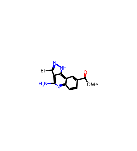 CCc1n[nH]c2c1c(N)nc1ccc(C(=O)OC)cc12